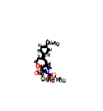 COC(=O)[C@@H]1[C@@H]2OCC=C(c3ccc(OC)cc3)C[C@H]2CN1C(=O)OC(C)(C)C